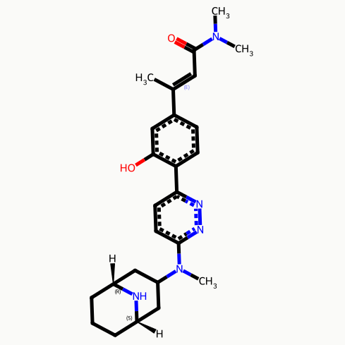 C/C(=C\C(=O)N(C)C)c1ccc(-c2ccc(N(C)C3C[C@H]4CCC[C@@H](C3)N4)nn2)c(O)c1